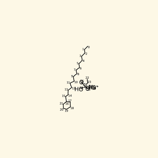 CCCCCCCCCCCCCCCCC1CCCCC1.CCS(=O)(=O)O.[Na+].[SH-]